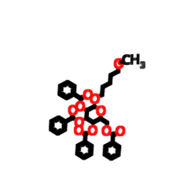 COCCCCCO[C@H]1OC(COC(=O)c2ccccc2)[C@@H](OC(=O)c2ccccc2)[C@@H](OC(=O)c2ccccc2)C1OC(=O)c1ccccc1